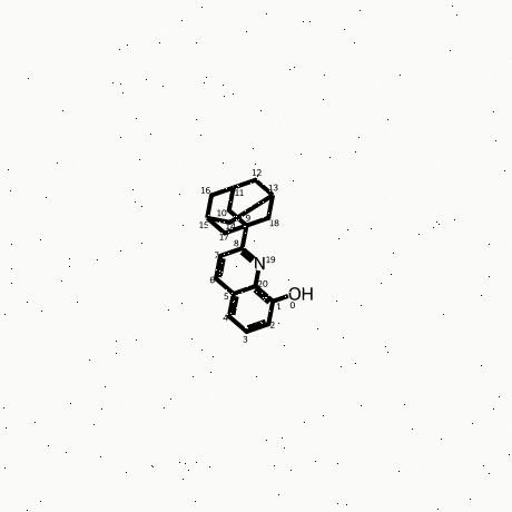 Oc1cccc2ccc(C34CC5CC(CC(C5)C3)C4)nc12